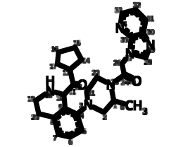 CC1CN(c2cccc3c2C(C(=O)C2CCCC2)NCC3)CCN1C(=O)Cn1cnc2cccnc21